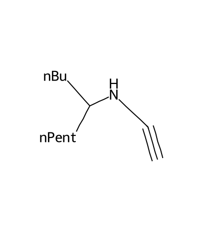 C#CNC(CCCC)CCCCC